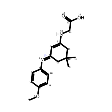 COc1ccc(/N=C2/C=C(NCC(=O)O)CC(C)(C)C2)cc1